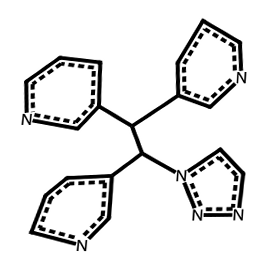 c1cncc(C(c2cccnc2)C(c2cccnc2)n2ccnn2)c1